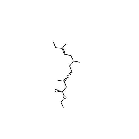 CCOC(=O)CC(C)=C=CCC(C)C/C=C(\C)CC